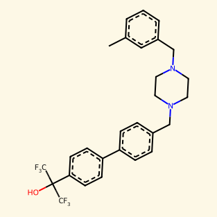 Cc1cccc(CN2CCN(Cc3ccc(-c4ccc(C(O)(C(F)(F)F)C(F)(F)F)cc4)cc3)CC2)c1